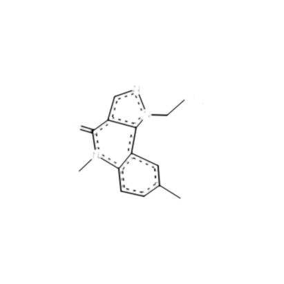 Cc1ccc2c(c1)c1c(cnn1CC(=O)O)c(=O)n2C